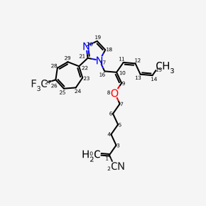 C=C(C#N)CCCCCO/C=C(/C=C\C=C/C)Cn1ccnc1C1=CCC=C(C(F)(F)F)C=C1